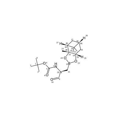 CC(C)(C)OC(=O)N[C@H](C=O)CB1O[C@H]2C[C@H]3C[C@H](C3(C)C)[C@@]2(C)O1